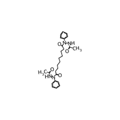 CC(=O)NN(C(=O)CCCCCCCCC(=O)N(NC(C)=O)c1ccccc1)c1ccccc1